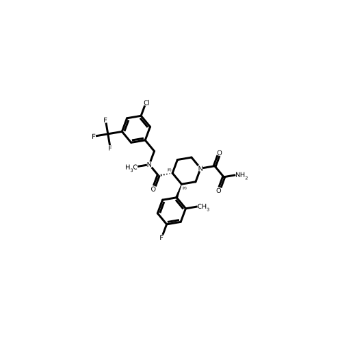 Cc1cc(F)ccc1[C@@H]1CN(C(=O)C(N)=O)CC[C@H]1C(=O)N(C)Cc1cc(Cl)cc(C(F)(F)F)c1